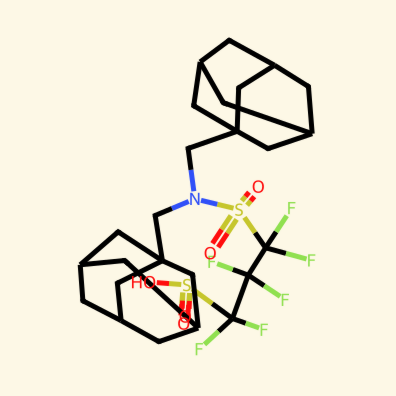 O=S(=O)(O)C(F)(F)C(F)(F)C(F)(F)S(=O)(=O)N(CC12CC3CC(CC(C3)C1)C2)CC12CC3CC(CC(C3)C1)C2